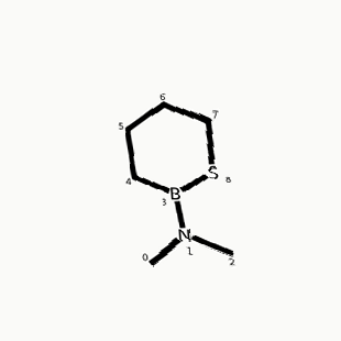 CN(C)B1CCCCS1